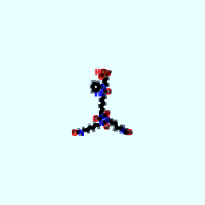 O=C=NCCCCCCn1c(=O)n(CCCCCCNC(=O)N(CCCS(=O)(=O)O)C2CCCCC2)c(=O)n(CCCCCN=C=O)c1=O